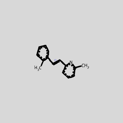 Cc1cccc(/C=C/c2ccccc2C)n1